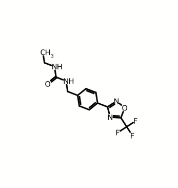 CCNC(=O)NCc1ccc(-c2noc(C(F)(F)F)n2)cc1